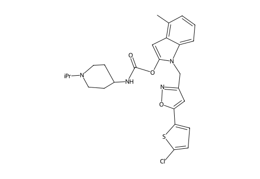 Cc1cccc2c1cc(OC(=O)NC1CCN(C(C)C)CC1)n2Cc1cc(-c2ccc(Cl)s2)on1